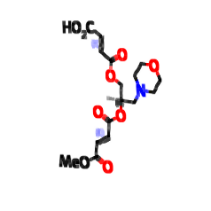 COC(=O)/C=C/C(=O)O[C@@](C)(COC(=O)/C=C/C(=O)O)CN1CCOCC1